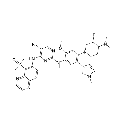 COc1cc(N2CCC(N(C)C)C(F)C2)c(-c2cnn(C)c2)cc1Nc1ncc(Br)c(Nc2ccc3nccnc3c2P(C)(C)=O)n1